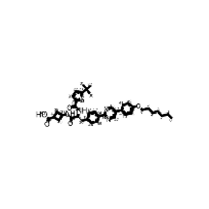 CCCCCCCOc1ccc(-c2cnc(-c3ccc(C[C@H](NC(=O)c4ccc(C(C)(C)C)s4)C(=O)NC4CC(C(=O)O)C4)cc3)nc2)cc1